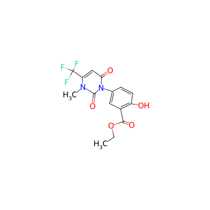 CCOC(=O)c1cc(-n2c(=O)cc(C(F)(F)F)n(C)c2=O)ccc1O